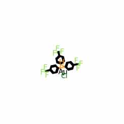 FC(F)(F)c1ccc([PH]([Au][Cl])(c2ccc(C(F)(F)F)cc2)c2ccc(C(F)(F)F)cc2)cc1